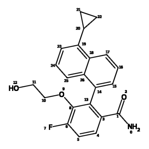 NC(=O)c1ccc(F)c(OCCO)c1-c1cccc2c(C3CC3)cccc12